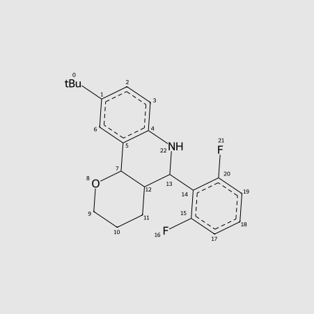 CC(C)(C)c1ccc2c(c1)C1OCCCC1C(c1c(F)cccc1F)N2